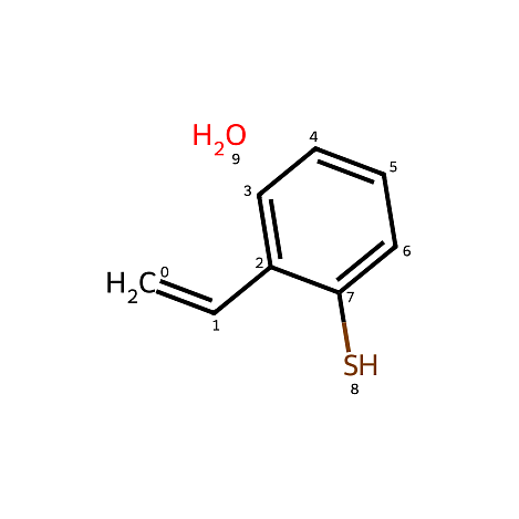 C=Cc1ccccc1S.O